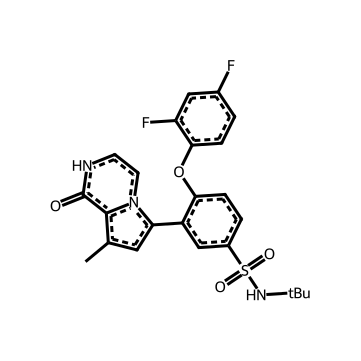 Cc1cc(-c2cc(S(=O)(=O)NC(C)(C)C)ccc2Oc2ccc(F)cc2F)n2cc[nH]c(=O)c12